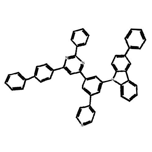 c1ccc(-c2ccc(-c3cc(-c4cc(-c5ccncc5)cc(-n5c6ccccc6c6cc(-c7ccccc7)ccc65)c4)nc(-c4ccccc4)n3)cc2)cc1